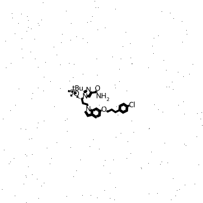 CC(C)(C)[Si](C)(C)OC[C@@H](CCn1ccc2ccc(OCCCc3ccc(Cl)cc3)cc21)n1cnc(C(N)=O)c1